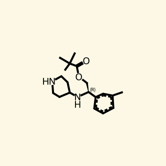 Cc1cccc([C@H](COC(=O)C(C)(C)C)NC2CCNCC2)c1